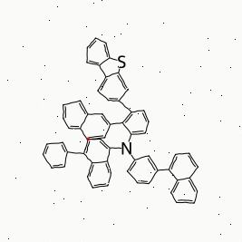 c1ccc(-c2ccc(N(c3cccc(-c4cccc5ccccc45)c3)c3cccc(-c4ccc5c(c4)sc4ccccc45)c3-c3ccc4ccccc4c3)c3ccccc23)cc1